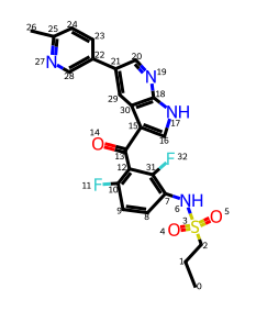 CCCS(=O)(=O)Nc1ccc(F)c(C(=O)c2c[nH]c3ncc(-c4ccc(C)nc4)cc23)c1F